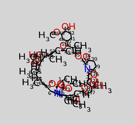 CCOC(=O)N1C2C=CC(C)([C@@H](OC)C[C@@H]3CC[C@@H](C)[C@@](O)(O3)C(=O)C(=O)N3CCCCC3C(=O)O[C@H]([C@H](C)C[C@@H]3CC[C@@H](O)[C@H](OC)C3)CC(=O)C/C=C(\C)[C@@H](O)[C@@H](OC)C(=O)[C@H](C)C[C@H](C)/C=C/2)N1C(=O)OCC